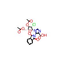 CC(=O)OC[C@H]1O[C@@H](n2cnc(C(=O)O)c2N2C(=O)c3ccccc3C2=O)[C@@H](Cl)[C@@H]1OC(C)=O